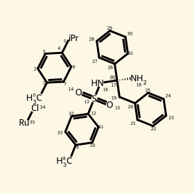 Cc1ccc(C(C)C)cc1.Cc1ccc(S(=O)(=O)N[C@](N)(Cc2ccccc2)c2ccccc2)cc1.[Cl][Ru]